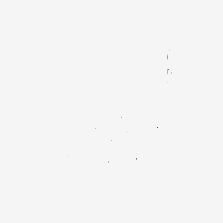 C#[N+]CCOS(=O)(=O)c1ccc(C)cc1